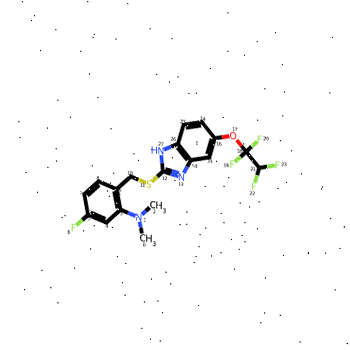 CN(C)c1cc(F)ccc1CSc1nc2cc(OC(F)(F)C(F)F)ccc2[nH]1